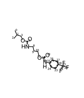 CC(C)COC(=O)NCCCOC(=O)Nc1ccc(C(F)(F)F)cc1